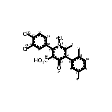 CCn1c(C)c(-c2cc(C)ccc2C)c(=O)c(C(=O)O)c1-c1ccc(Cl)c(Cl)c1